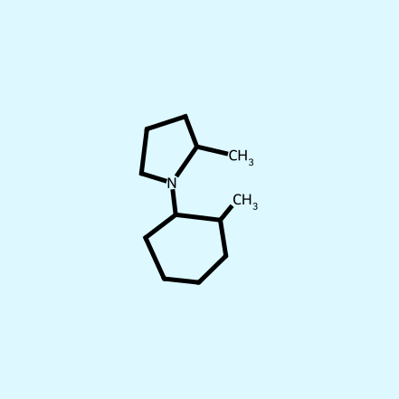 CC1CCCCC1N1CCCC1C